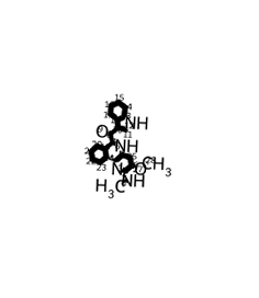 CNc1ncc(NC(C(=O)c2c[nH]c3ccccc23)c2ccccc2)cc1OC